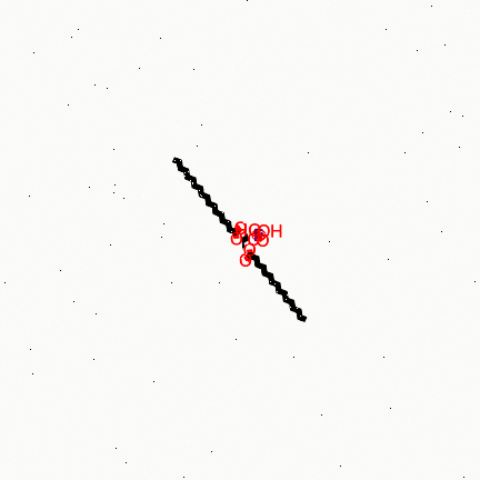 CCCCCCCCCCCCCCCCCC(=O)O[C@H](COC(=O)CCCCCCCCCCCCCCC)COP(=O)(O)O